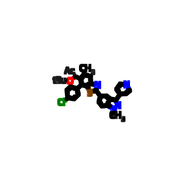 CC(=O)[C@@H](OC(C)(C)C)c1c(C)cc2nc(-c3ccc4c(c3)c(-c3ccncc3)nn4C)sc2c1-c1ccc(Cl)cc1